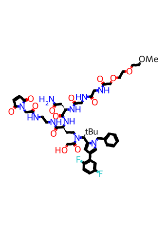 COCCOCCOCC(=O)NCC(=O)NCC(=O)N[C@@H](CC(N)=O)C(=O)N[C@@H](CCN(C(=O)CO)[C@@H](c1cc(-c2cc(F)ccc2F)cn1Cc1ccccc1)C(C)(C)C)C(=O)NCCNC(=O)CN1C(=O)C=CC1=O